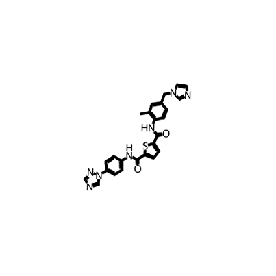 Cc1cc(Cn2ccnc2)ccc1NC(=O)c1ccc(C(=O)Nc2ccc(-n3cncn3)cc2)s1